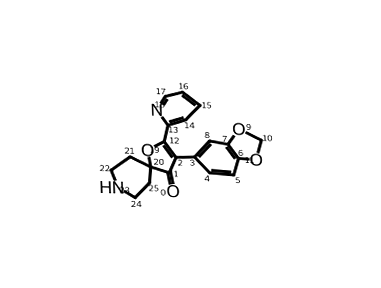 O=C1C(c2ccc3c(c2)OCO3)=C(c2ccccn2)OC12CCNCC2